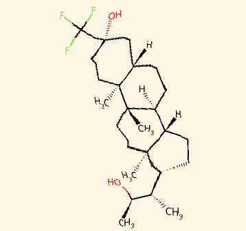 C[C@@H]([C@H]1CC[C@H]2[C@@H]3CC[C@H]4C[C@](O)(C(F)(F)F)CC[C@]4(C)[C@@]3(C)CC[C@]12C)[C@@H](C)O